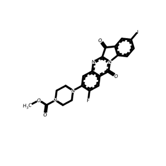 COC(=O)N1CCN(c2cc3nc4n(c(=O)c3cc2F)-c2ccc(I)cc2C4=O)CC1